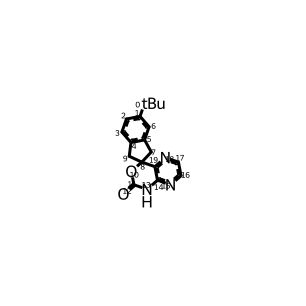 CC(C)(C)c1ccc2c(c1)CC1(C2)OC(=O)Nc2nccnc21